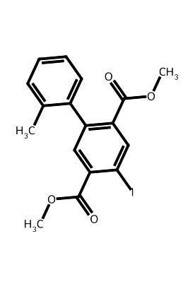 COC(=O)c1cc(-c2ccccc2C)c(C(=O)OC)cc1I